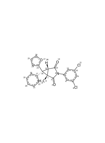 C[C@]12C(=O)N(c3cc(Cl)cc(Cl)c3)C(=O)[C@H]1[C@]2(c1ccccc1)c1ccco1